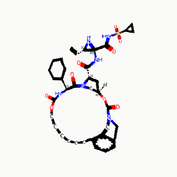 C=C[C@@H]1N[C@]1(NC(=O)[C@@H]1C[C@@H]2CN1C(=O)[C@H](C1CCCCC1)NC(=O)OCCCCCCc1cccc3c1CN(C3)C(=O)O2)C(=O)NS(=O)(=O)C1CC1